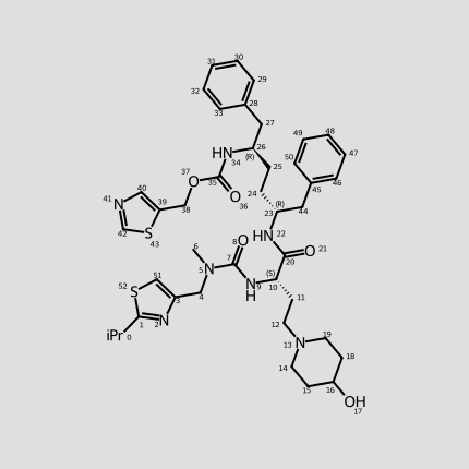 CC(C)c1nc(CN(C)C(=O)N[C@@H](CCN2CCC(O)CC2)C(=O)N[C@H](CC[C@H](Cc2ccccc2)NC(=O)OCc2cncs2)Cc2ccccc2)cs1